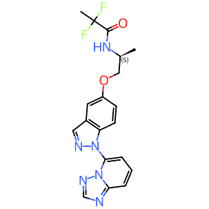 C[C@@H](COc1ccc2c(cnn2-c2cccc3ncnn23)c1)NC(=O)C(C)(F)F